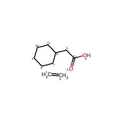 C=C.O=C(O)CC1CCCCC1